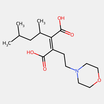 CC(C)CC(C)C(C(=O)O)=C(CCN1CCOCC1)C(=O)O